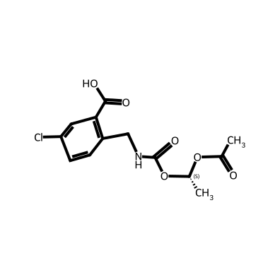 CC(=O)O[C@H](C)OC(=O)NCc1ccc(Cl)cc1C(=O)O